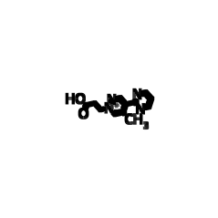 Cc1c[n+](CCC(=O)O)ncc1-c1ncccn1